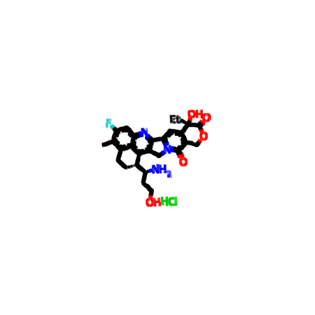 CC[C@@]1(O)C(=O)OCc2c1cc1n(c2=O)Cc2c-1nc1cc(F)c(C)c3c1c2[C@H]([C@@H](N)CCO)CC3.Cl